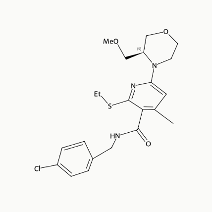 CCSc1nc(N2CCOC[C@@H]2COC)cc(C)c1C(=O)NCc1ccc(Cl)cc1